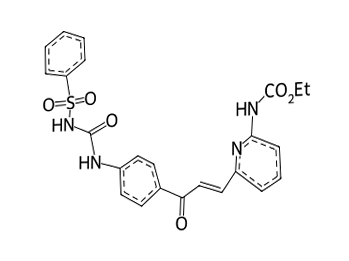 CCOC(=O)Nc1cccc(C=CC(=O)c2ccc(NC(=O)NS(=O)(=O)c3ccccc3)cc2)n1